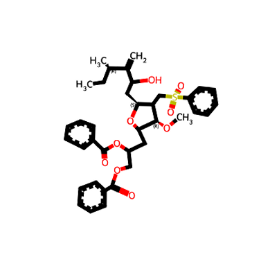 C=C(C(O)C[C@@H]1OC(CC(COC(=O)c2ccccc2)OC(=O)c2ccccc2)[C@H](OC)C1CS(=O)(=O)c1ccccc1)[C@H](C)CC